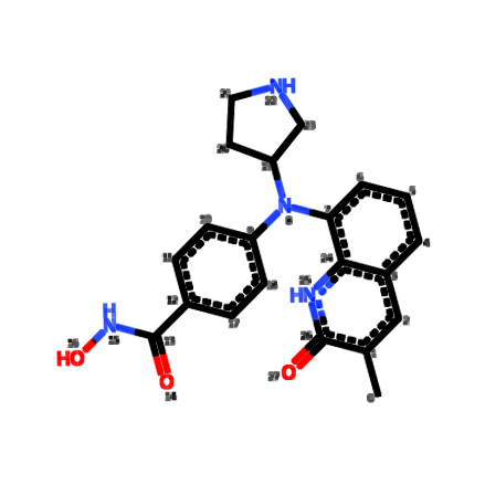 Cc1cc2cccc(N(c3ccc(C(=O)NO)cc3)C3CCNC3)c2[nH]c1=O